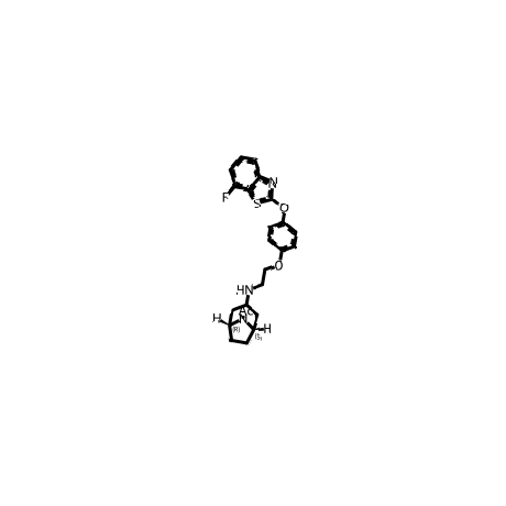 CC(=O)N1[C@@H]2CC[C@H]1CC(NCCOc1ccc(Oc3nc4cccc(F)c4s3)cc1)C2